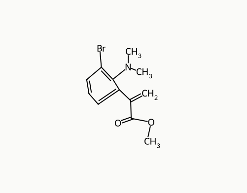 C=C(C(=O)OC)c1cccc(Br)c1N(C)C